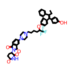 CCC(=C(c1ccc(O)cc1)c1ccc(OC(CCCCN2CCN(c3ccc4c(c3)C(=O)N(C3CCC(=O)NC3=O)C4=O)CC2)C(F)(F)F)cc1)c1ccccc1